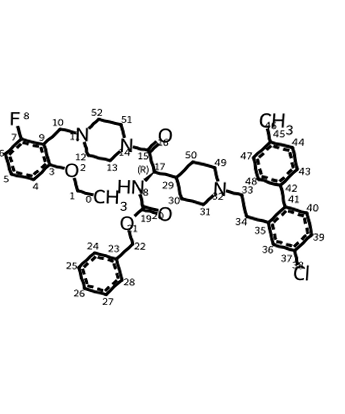 CCOc1cccc(F)c1CN1CCN(C(=O)[C@H](NC(=O)OCc2ccccc2)C2CCN(CCc3cc(Cl)ccc3-c3ccc(C)cc3)CC2)CC1